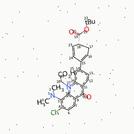 CN(C)c1c(Cl)ccc2c(=O)c3ccc(C4=CC[C@@H](C(=O)OC(C)(C)C)C=C4)cc3n(CC(=O)O)c12